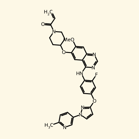 C=CC(=O)N1CCC(Oc2cc3c(Nc4ccc(Oc5ccn(-c6ccc(C)nc6)n5)cc4F)ncnc3cc2OC)CC1